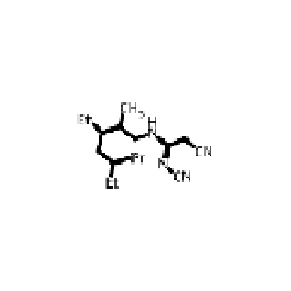 CCC(CC(CC)C(C)CNC(CC#N)=NC#N)C(C)C